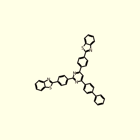 c1ccc(-c2ccc(-c3cc(-c4ccc(-c5nc6ccccc6s5)cc4)nc(-c4ccc(-c5nc6ccccc6s5)cc4)n3)cc2)cc1